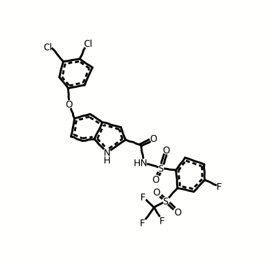 O=C(NS(=O)(=O)c1ccc(F)cc1S(=O)(=O)C(F)(F)F)c1cc2cc(Oc3ccc(Cl)c(Cl)c3)ccc2[nH]1